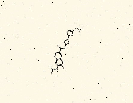 CCOC(=O)c1coc(N2CC(NC(=O)c3cnc4cc(OC(F)F)c(F)cc4c3)C2)n1